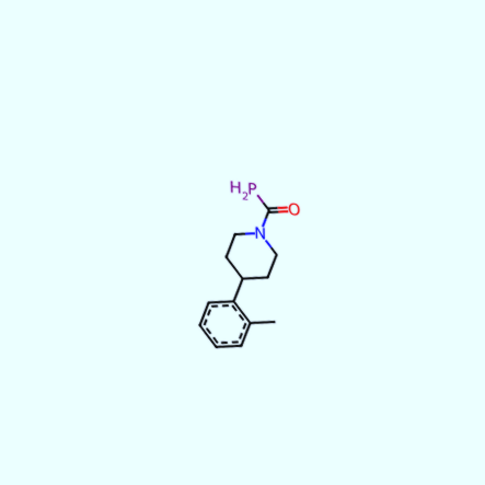 Cc1ccccc1C1CCN(C(=O)P)CC1